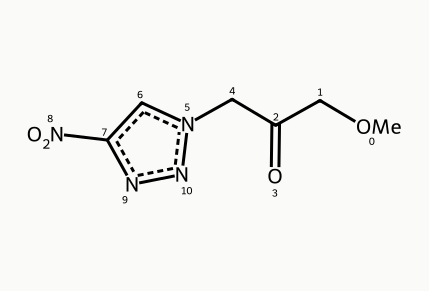 COCC(=O)Cn1cc([N+](=O)[O-])nn1